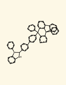 c1ccc(N2c3ccccc3NC2c2ccc(-c3ccc(C4(c5ccccc5)c5ccccc5C5(c6ccccc6)c6ccccc6-c6cccc4c65)cc3)cc2)cc1